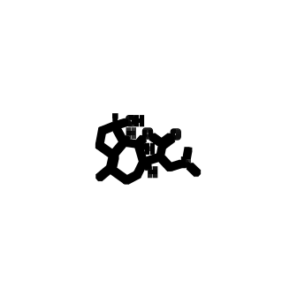 CC1=C2CC[C@@](C)(O)[C@@H]2[C@H]2OC(=O)C(CN(C)C)[C@@H]2CC1